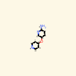 Nc1ccc(Oc2ccncc2)cn1